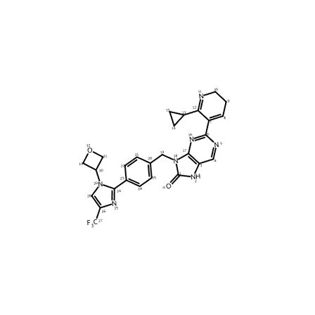 O=c1[nH]c2cnc(C3=CCCN=C3C3CC3)nc2n1Cc1ccc(-c2nc(C(F)(F)F)cn2C2COC2)cc1